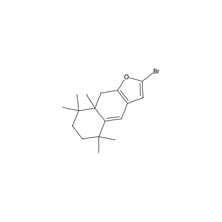 CC1(C)CCC(C)(C)C2(C)Cc3oc(Br)cc3C=C12